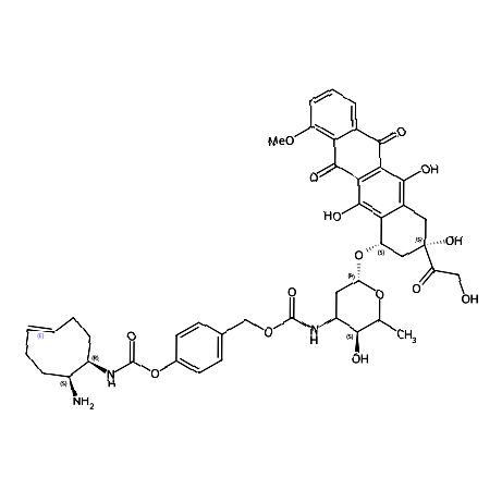 COc1cccc2c1C(=O)c1c(O)c3c(c(O)c1C2=O)C[C@@](O)(C(=O)CO)C[C@@H]3O[C@H]1CC(NC(=O)OCc2ccc(OC(=O)N[C@@H]3CC/C=C/CC[C@@H]3N)cc2)[C@H](O)C(C)O1